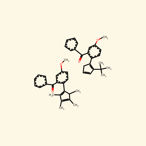 COc1ccc(C2=C(C(C)(C)C)C=CC2)c(C(=O)c2ccccc2)c1.COc1ccc(C2=C(C)C(C)=C(C)C2C)c(C(=O)c2ccccc2)c1